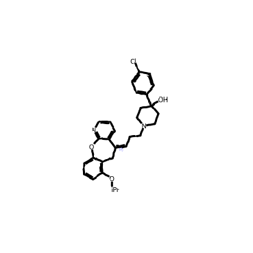 CC(C)Oc1cccc2c1C/C(=C/CCN1CCC(O)(c3ccc(Cl)cc3)CC1)c1cccnc1O2